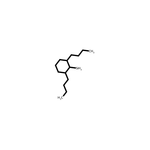 CCCCC1CCCC(CCCC)C1[SiH3]